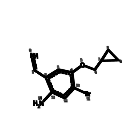 N=Cc1cc(OCC2CC2)c(Br)cc1N